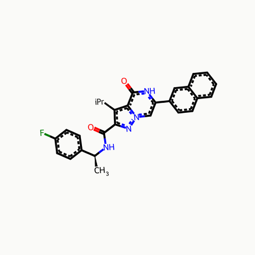 CC(C)c1c(C(=O)N[C@@H](C)c2ccc(F)cc2)nn2cc(-c3ccc4ccccc4c3)[nH]c(=O)c12